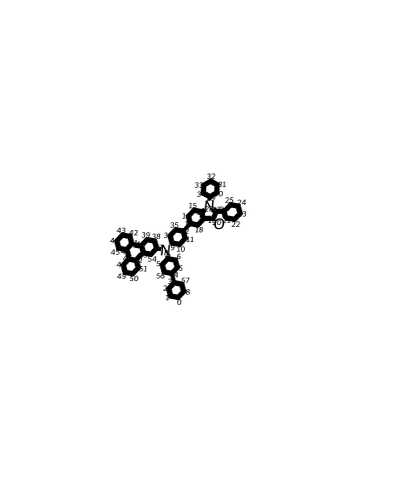 c1ccc(-c2ccc(N(c3ccc(-c4ccc5c(c4)c4oc6ccccc6c4n5-c4ccccc4)cc3)c3ccc4c5ccccc5c5ccccc5c4c3)cc2)cc1